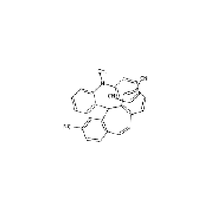 CN(c1ccccc1)c1ccccc1C1(C)c2cc(C#N)ccc2C=Cc2ccc(C#N)cc21